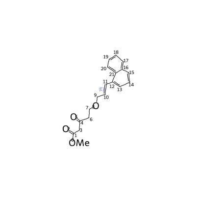 COC(=O)CC(=O)CCOC/C=C/c1cccc2ccccc12